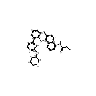 CCC(=O)Nc1cccc2c(Oc3ncccc3-c3ccnc(NC4CCCNC4)n3)c(C)ccc12